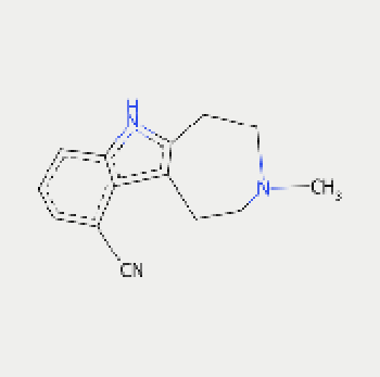 CN1CCc2[nH]c3cccc(C#N)c3c2CC1